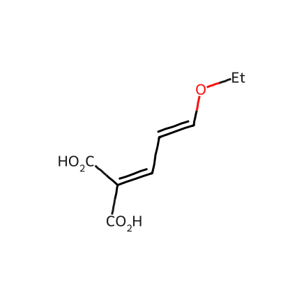 CCO/C=C/C=C(C(=O)O)C(=O)O